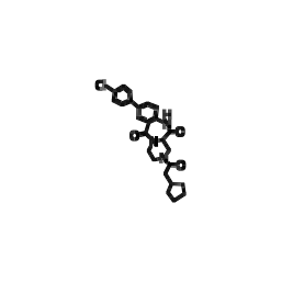 O=C1Nc2ccc(-c3ccc(Cl)cc3)cc2C(=O)N2CCN(C(=O)CC3CCCC3)CC12